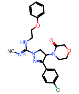 N#C/N=C(\NCCOc1ccccc1)N1CC(N2CCOCC2=O)C(c2ccc(Cl)cc2)=N1